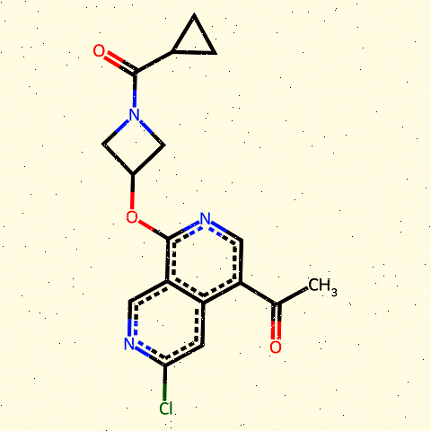 CC(=O)c1cnc(OC2CN(C(=O)C3CC3)C2)c2cnc(Cl)cc12